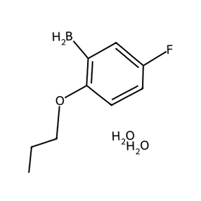 Bc1cc(F)ccc1OCCC.O.O